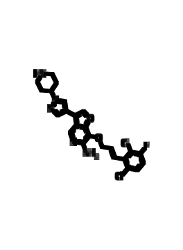 Nc1ncc2c(-c3cnn(C4CCNCC4)c3)coc2c1OC/C=C/c1c(Cl)ccc(F)c1Cl